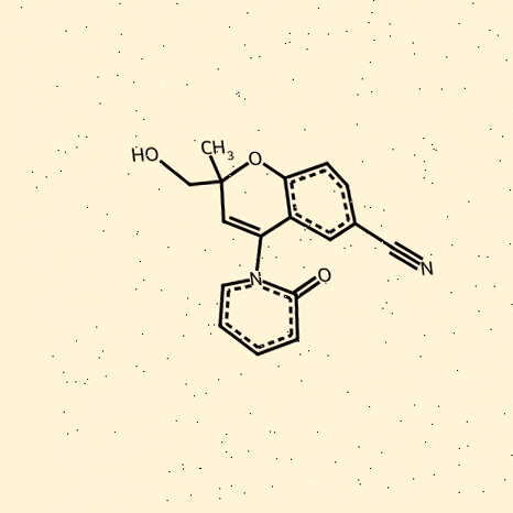 CC1(CO)C=C(n2ccccc2=O)c2cc(C#N)ccc2O1